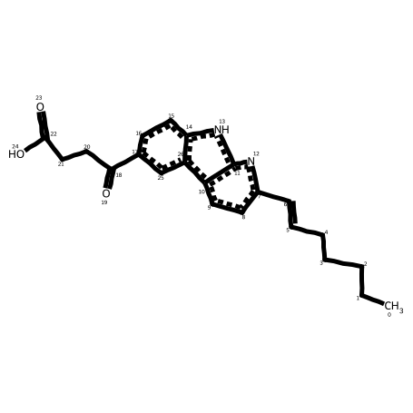 CCCCCC=Cc1ccc2c(n1)[nH]c1ccc(C(=O)CCC(=O)O)cc12